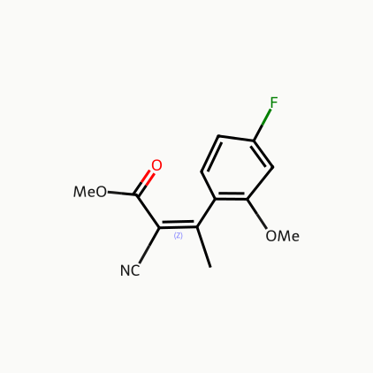 COC(=O)/C(C#N)=C(/C)c1ccc(F)cc1OC